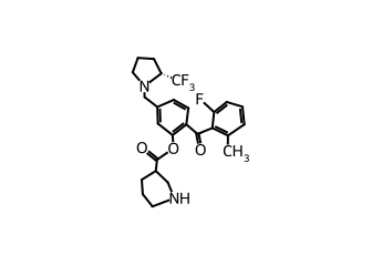 Cc1cccc(F)c1C(=O)c1ccc(CN2CCC[C@@H]2C(F)(F)F)cc1OC(=O)C1CCCNC1